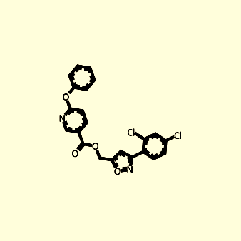 O=C(OCc1cc(-c2ccc(Cl)cc2Cl)no1)c1ccc(Oc2ccccc2)nc1